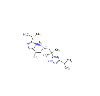 C/C(=C/C(C)(C)c1nc(C(C)C)c[nH]1)CC(C)c1cnc(C(C)C)[nH]1